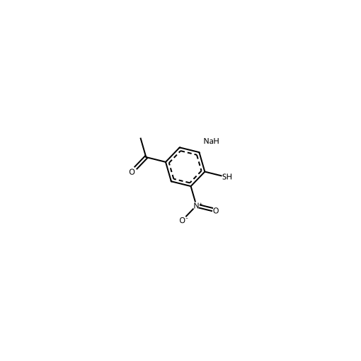 CC(=O)c1ccc(S)c([N+](=O)[O-])c1.[NaH]